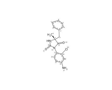 C[C@]1(Cc2ccccc2)NC(=O)N(c2ccc(N)cc2Cl)C1=O